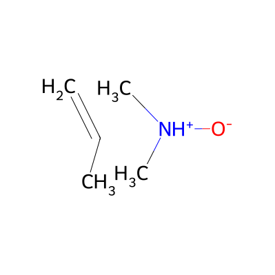 C=CC.C[NH+](C)[O-]